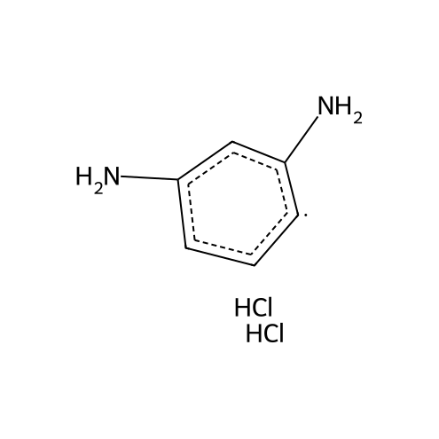 Cl.Cl.Nc1[c]ccc(N)c1